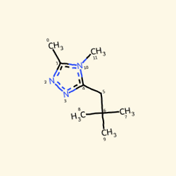 Cc1nnc(CC(C)(C)C)n1C